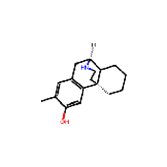 Cc1cc2c(cc1O)[C@]13CCCCC1[C@H](C2)NCC3